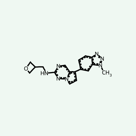 Cn1nnc2ccc(-c3ccn4nc(NCC5COC5)ncc34)cc21